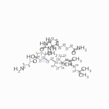 C=C1CC[C@@](O)(OCCCN)C/C1=C/C=C1CCC[C@@]2(C)C1CC[C@@H]2[C@H](C)CCCC(C)C.NC(=O)CCCC[C@@H]1SC[C@@H]2NC(=O)N[C@@H]21